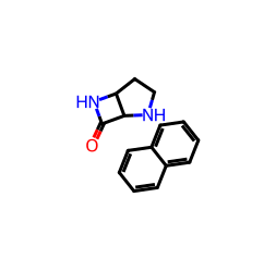 O=C1NC2CCNC12.c1ccc2ccccc2c1